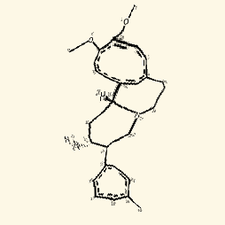 COc1cc2c(cc1OC)[C@H]1C[C@@H](N)[C@H](c3cccc(C)c3)CN1CC2